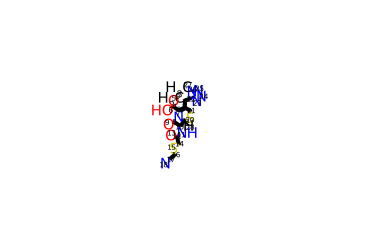 C=C(C1=C(C(=O)O)N2C(=O)C(NC(=O)CSCC#N)[C@H]2SC1)c1nnnn1C